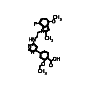 CCOc1cc(-c2cc(NCCn3c(C)cc4c(OC)ccc(F)c43)ncn2)ccc1C(=O)O